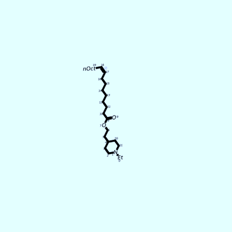 [CH2]CN1CCC(CCOC(=O)CCCCCCC/C=C\CCCCCCCC)CC1